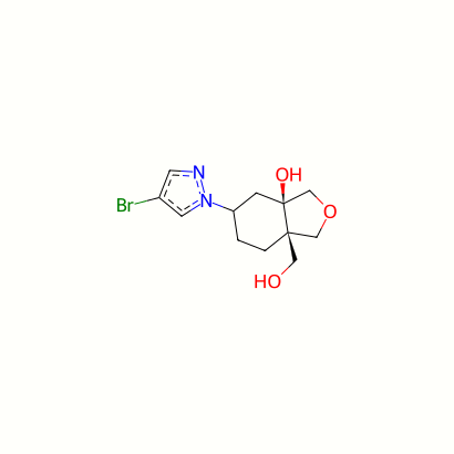 OC[C@@]12CCC(n3cc(Br)cn3)C[C@]1(O)COC2